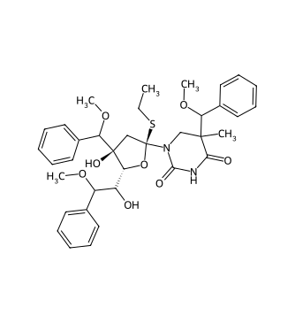 CCS[C@]1(N2CC(C)(C(OC)c3ccccc3)C(=O)NC2=O)C[C@@](O)(C(OC)c2ccccc2)[C@@H](C(O)C(OC)c2ccccc2)O1